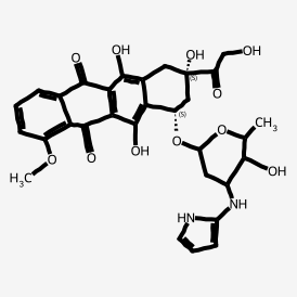 COc1cccc2c1C(=O)c1c(O)c3c(c(O)c1C2=O)C[C@@](O)(C(=O)CO)C[C@@H]3OC1CC(Nc2ccc[nH]2)C(O)C(C)O1